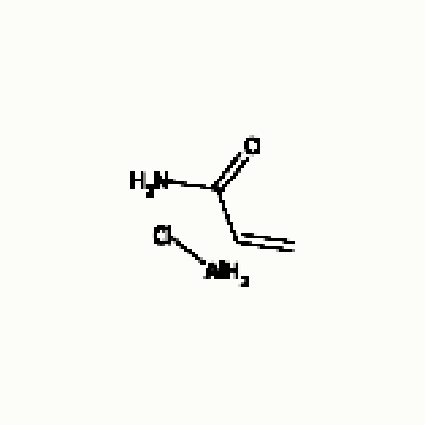 C=CC(N)=O.[AlH2][Cl]